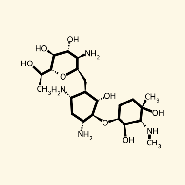 CN[C@@H]1[C@@H](O)[C@@H](O[C@@H]2[C@@H](O)[C@H](C[C@H]3O[C@H]([C@@H](C)O)[C@@H](O)[C@H](O)[C@H]3N)[C@@H](N)C[C@H]2N)CC[C@]1(C)O